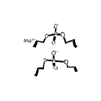 C=CCOP(=O)([O-])OCC=C.C=CCOP(=O)([O-])OCC=C.[Mg+2]